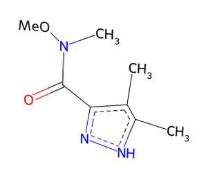 CON(C)C(=O)c1n[nH]c(C)c1C